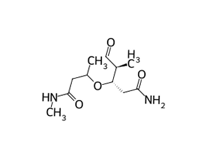 CNC(=O)CC(C)O[C@@H](CC(N)=O)[C@H](C)C=O